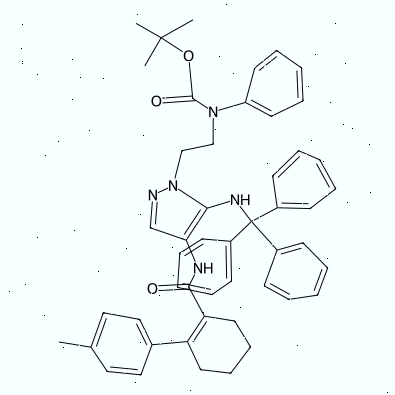 Cc1ccc(C2=C(C(=O)Nc3cnn(CCN(C(=O)OC(C)(C)C)c4ccccc4)c3NC(c3ccccc3)(c3ccccc3)c3ccccc3)CCCC2)cc1